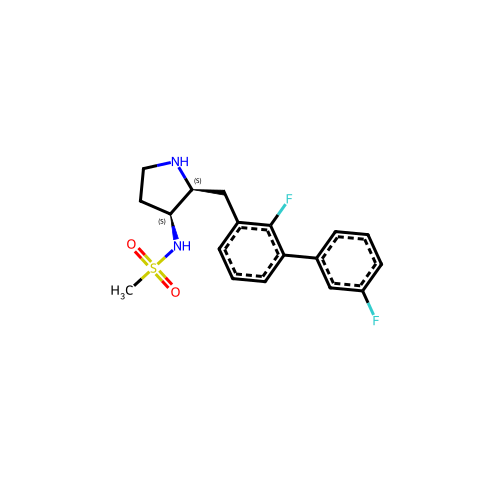 CS(=O)(=O)N[C@H]1CCN[C@H]1Cc1cccc(-c2cccc(F)c2)c1F